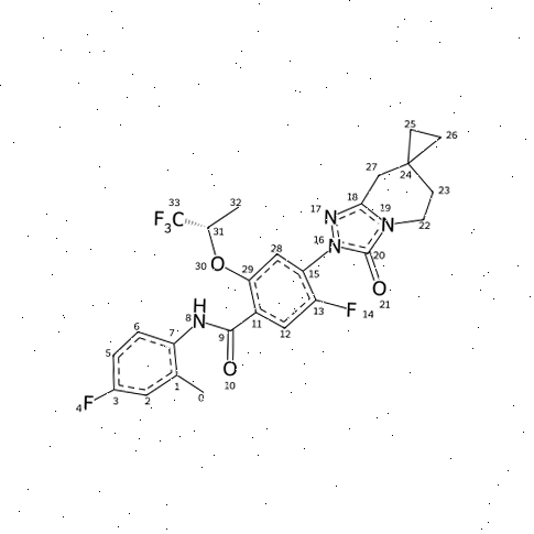 Cc1cc(F)ccc1NC(=O)c1cc(F)c(-n2nc3n(c2=O)CCC2(CC2)C3)cc1O[C@@H](C)C(F)(F)F